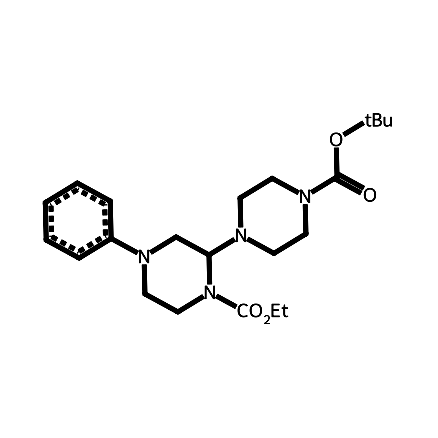 CCOC(=O)N1CCN(c2ccccc2)CC1N1CCN(C(=O)OC(C)(C)C)CC1